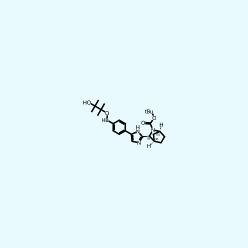 CC(C)(C)OC(=O)N1[C@H]2CC[C@H](C2)[C@H]1c1ncc(-c2ccc(BOC(C)(C)C(C)(C)O)cc2)[nH]1